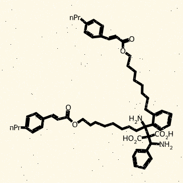 CCCc1ccc(C=CC(=O)OCCCCCCCCc2ccccc2C(N)(CCCCCCCCOC(=O)C=Cc2ccc(CCC)cc2)C(C(=O)O)(C(=O)O)C(N)c2ccccc2)cc1